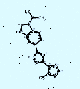 CC(C)N1NNc2cc(-c3nc(-c4sccc4Cl)co3)ccc21